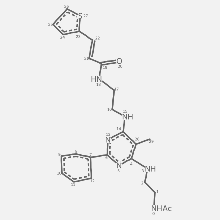 CC(=O)NCCNc1nc(-c2ccccc2)nc(NCCNC(=O)/C=C/c2cccs2)c1C